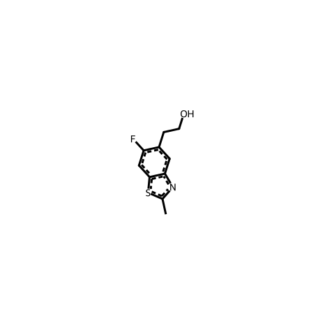 Cc1nc2cc(CCO)c(F)cc2s1